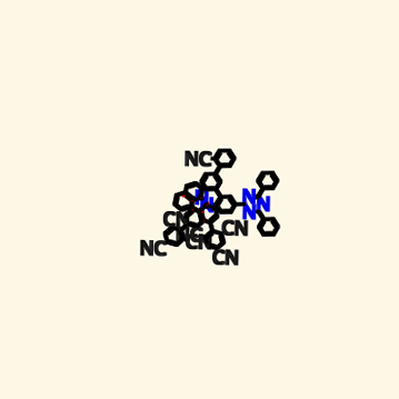 N#Cc1cc(C#N)c(-c2ccc3c(c2)c2ccccc2n3-c2ccc(-c3nc(-c4ccccc4)nc(-c4ccccc4)n3)cc2-c2cc(-c3ccccc3C#N)ccc2-n2c3ccccc3c3cc(-c4c(C#N)cc(C#N)cc4C#N)ccc32)c(C#N)c1